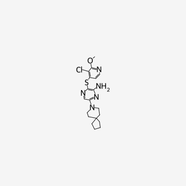 COc1nccc(Sc2ncc(N3CCC4(CCCC4)CC3)nc2N)c1Cl